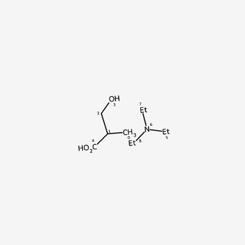 CC(CO)C(=O)O.CCN(CC)CC